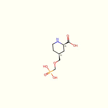 O=C(O)[C@H]1C[C@@H](COCP(=O)(O)O)CCN1